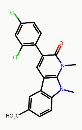 Cn1c(=O)c(-c2ccc(Cl)cc2Cl)cc2c3cc(C(=O)O)ccc3n(C)c21